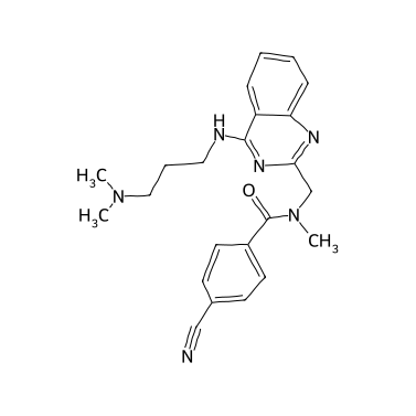 CN(C)CCCNc1nc(CN(C)C(=O)c2ccc(C#N)cc2)nc2ccccc12